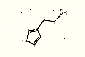 OCCc1[c]s[c]c1